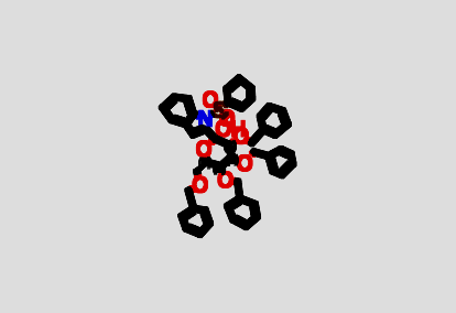 O=S(=O)(c1ccccc1)n1c(C2(O)O[C@H](COCc3ccccc3)[C@@H](OCc3ccccc3)[C@H](OCc3ccccc3)[C@@H]2OCc2ccccc2)cc2ccccc21